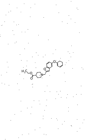 CCOC(=O)C1CCN(Cc2cc3cc(OC4=CC=CCC4)ccc3o2)CC1